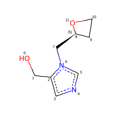 OCc1cncn1C[C@@H]1CCO1